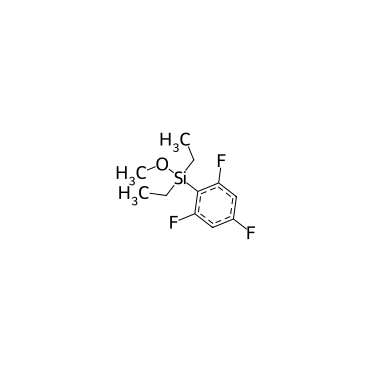 CC[Si](CC)(OC)c1c(F)cc(F)cc1F